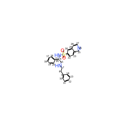 O=S(=O)(N[C@@H](CNCCc1ccccc1)c1ccccc1)c1ccc2cnccc2c1